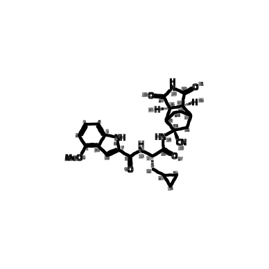 COc1cccc2[nH]c(C(=O)N[C@@H](CC3CC3)C(=O)N[C@@]3(C#N)CC4CCC3[C@H]3C(=O)NC(=O)[C@@H]43)cc12